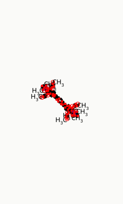 COc1ccc(Oc2cc3c4c(cc(Oc5ccc(OC)cc5)c5c6ccc7c8c(ccc(c2c45)c86)-c2cc4cc5c(cc4cc2-7)/C=C\c2cc4cc6c(cc4cc2/C=C\5)-c2ccc4c5c(Oc7ccc(OC)cc7)cc7c8c(cc(Oc9ccc(OC)cc9)c(c9ccc-6c2c49)c85)C(=O)N(c2c(C(C)C)cccc2C(C)C)C7=O)C(=O)N(c2c(C(C)C)cccc2C(C)C)C3=O)cc1